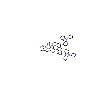 c1ccc(-n2c3ccccc3c3c(-c4cccc5c(-c6cccc7c6-c6ccccc6C76c7ccccc7-n7c8ccccc8c8cccc6c87)c6cccc(-c7cccc8c7c7ccccc7n8-c7ccccc7)c6cc45)cccc32)cc1